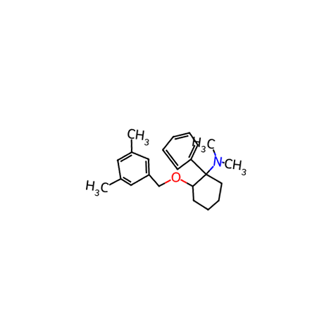 Cc1cc(C)cc(COC2CCCCC2(c2ccccc2)N(C)C)c1